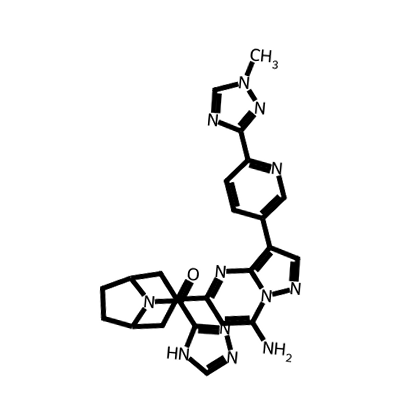 Cn1cnc(-c2ccc(-c3cnn4c(N)cc(C5CC6CCC(C5)N6C(=O)c5nnc[nH]5)nc34)cn2)n1